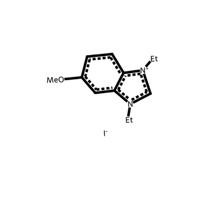 CCn1c[n+](CC)c2ccc(OC)cc21.[I-]